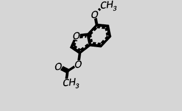 COc1cccc2c(OC(C)=O)coc12